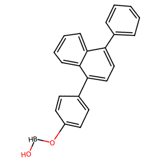 OBOc1ccc(-c2ccc(-c3ccccc3)c3ccccc23)cc1